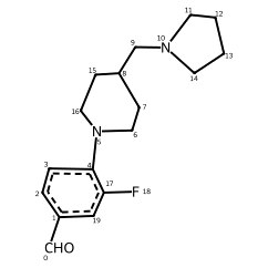 O=Cc1ccc(N2CCC(CN3CCCC3)CC2)c(F)c1